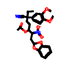 CCC(C#N)(CCC(OC(C)=O)C(CC1Oc2ccccc2O1)[N+](=O)[O-])c1ccc(OC)c(OC)c1